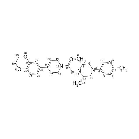 C[C@@H]1CN(c2ccc(C(F)(F)F)nc2)C[C@H](C)N1CC(=O)N1CC=C(c2ccc3c(c2)OCCO3)CC1